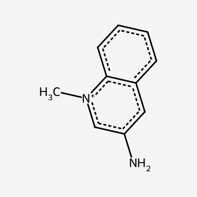 C[n+]1cc(N)cc2ccccc21